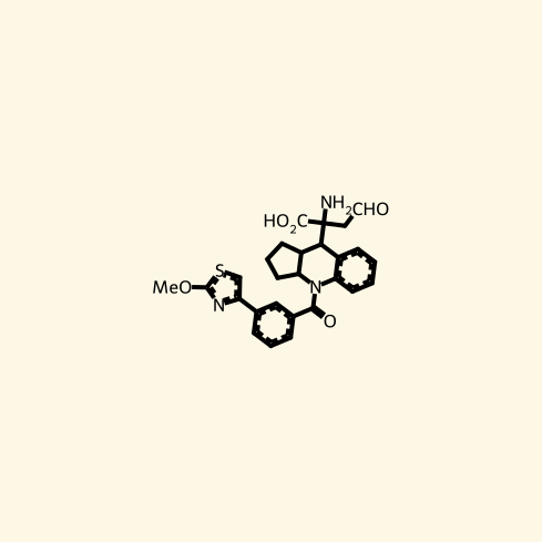 COc1nc(-c2cccc(C(=O)N3c4ccccc4C(C(N)(CC=O)C(=O)O)C4CCCC43)c2)cs1